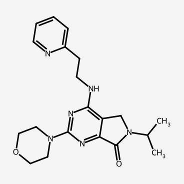 CC(C)N1Cc2c(NCCc3ccccn3)nc(N3CCOCC3)nc2C1=O